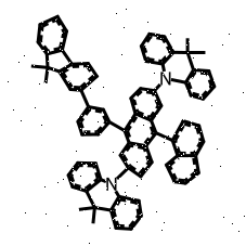 CC1(C)c2ccccc2-c2ccc(-c3cccc(-c4c5cc(N6c7ccccc7C(C)(C)c7ccccc76)ccc5c(-c5cccc6ccccc56)c5cc(N6c7ccccc7C(C)(C)c7ccccc76)ccc45)c3)cc21